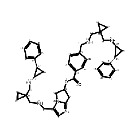 O=C(OC1Cc2ncc(CNCC3(CN[C@H]4C[C@@H]4c4ccccc4)CC3)n2C1)c1ccc(CNCC2(CNC3C[C@@H]3c3ccccc3)CC2)cc1